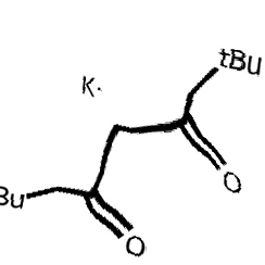 CC(C)(C)C(=O)CC(=O)C(C)(C)C.[K]